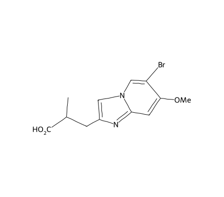 COc1cc2nc(CC(C)C(=O)O)cn2cc1Br